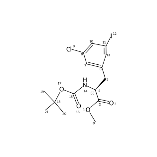 COC(=O)[C@H](Cc1cc(Cl)cc(I)c1)NC(=O)OC(C)(C)C